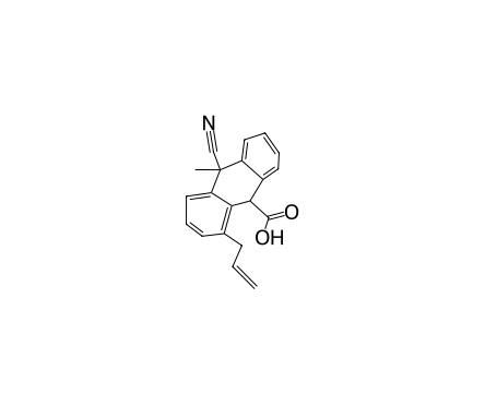 C=CCc1cccc2c1C(C(=O)O)c1ccccc1C2(C)C#N